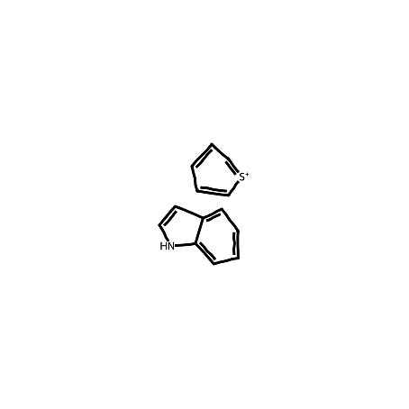 c1cc[s+]cc1.c1ccc2[nH]ccc2c1